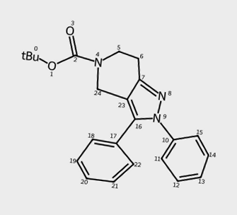 CC(C)(C)OC(=O)N1CCc2nn(-c3ccccc3)c(-c3ccccc3)c2C1